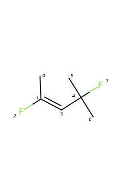 C/C(F)=C\C(C)(C)F